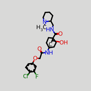 CN1CCCCC1CNC(=O)C12CCC(NC(=O)COc3ccc(Cl)c(F)c3)(CC1)CC2O